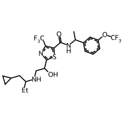 CCC(CC1CC1)NCC(O)c1nc(C(F)(F)F)c(C(=O)NC(C)c2cccc(OC(F)(F)F)c2)s1